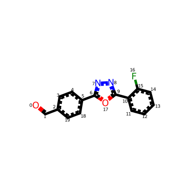 O=Cc1ccc(-c2nnc(-c3ccccc3F)o2)cc1